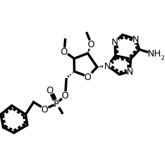 COC1[C@@H](COP(C)(=O)OCc2ccccc2)O[C@@H](n2cnc3c(N)ncnc32)[C@H]1OC